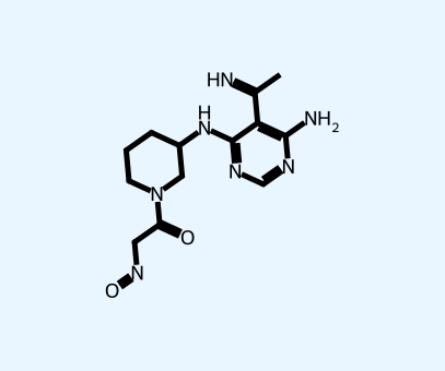 CC(=N)c1c(N)ncnc1NC1CCCN(C(=O)CN=O)C1